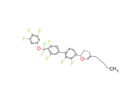 CCCCCC1=COC(c2ccc(-c3cc(F)c(C(F)(F)Oc4cc(F)c(F)c(F)c4)c(F)c3)c(F)c2F)CC1